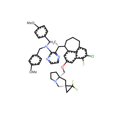 COc1ccc(CN(Cc2ccc(OC)cc2)c2nccnc2[C@H](C)C2CCCc3cc(Cl)c(F)c4cc(OC[C@@]56CCCN5C[C@]5(CC5(F)F)C6)cc2c34)cc1